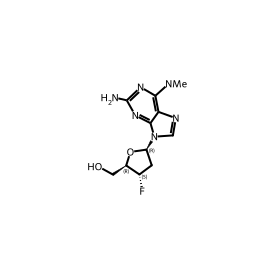 CNc1nc(N)nc2c1ncn2[C@H]1C[C@H](F)[C@@H](CO)O1